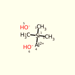 C[Si](C)(C)[Al+2].[OH-].[OH-]